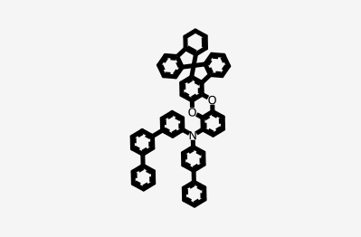 C1=CC2=C(CC1)c1ccccc1C21c2ccccc2-c2c1ccc1c2Oc2cccc(N(c3ccc(-c4ccccc4)cc3)c3cccc(-c4cccc(-c5ccccc5)c4)c3)c2O1